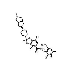 CSc1cc(C)[nH]c(=O)c1CNC(=O)c1cc(Cl)c2c(c1C)O[C@](C)([C@H]1CC[C@H](N3CC4CN(C)CC4C3)CC1)O2